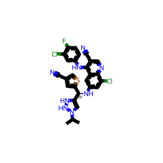 CC(C)N1C=C([C@@H](Nc2cc(Cl)c3ncc(C#N)c(Nc4ccc(F)c(Cl)c4)c3c2)c2cc(C#N)cs2)NN1